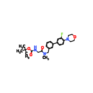 CN(Cc1cccc(-c2ccc(N3CCOCC3)c(F)c2)c1)C(=O)CNC(=O)OC(C)(C)C